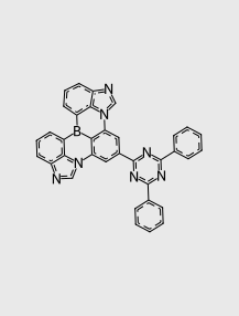 c1ccc(-c2nc(-c3ccccc3)nc(-c3cc4c5c(c3)-n3cnc6cccc(c63)B5c3cccc5ncn-4c35)n2)cc1